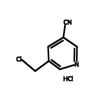 Cl.N#Cc1cncc(CCl)c1